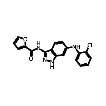 O=C(Nc1n[nH]c2cc(Nc3ccccc3Cl)ccc12)c1ccco1